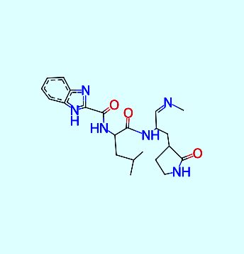 C/N=C\C(CC1CCNC1=O)NC(=O)C(CC(C)C)NC(=O)c1nc2ccccc2[nH]1